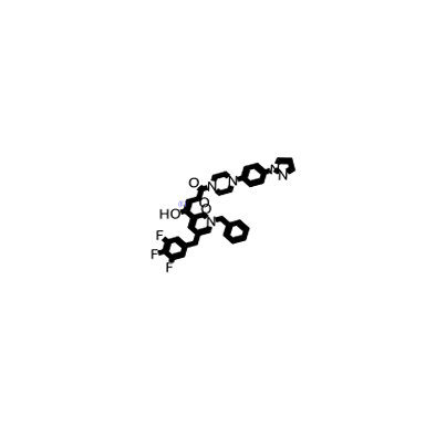 O=C(/C=C(/O)c1cc(Cc2cc(F)c(F)c(F)c2)cn(Cc2ccccc2)c1=O)C(=O)N1CCN(c2ccc(-n3cccn3)cc2)CC1